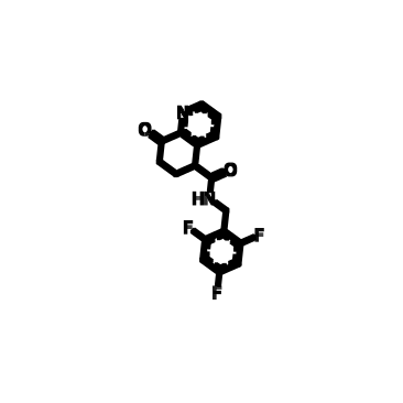 O=C1CCC(C(=O)NCc2c(F)cc(F)cc2F)c2cccnc21